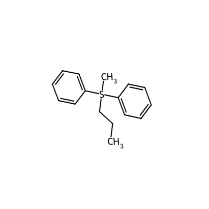 CCCS(C)(c1ccccc1)c1ccccc1